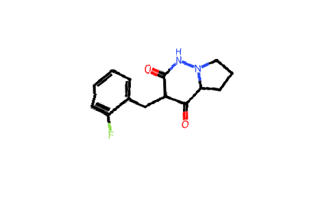 O=C1NN2CCCC2C(=O)C1Cc1ccccc1F